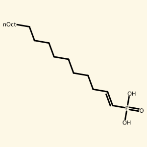 CCCCCCCCCCCCCCCC/C=C/P(=O)(O)O